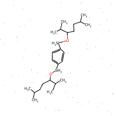 CC(C)CCC(O[SiH2]c1ccc([SiH2]OC(CCC(C)C)C(C)C)cc1)C(C)C